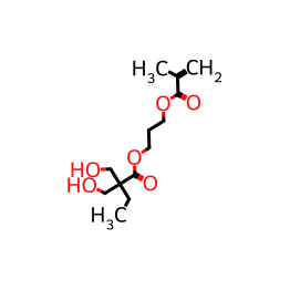 C=C(C)C(=O)OCCCOC(=O)C(CC)(CO)CO